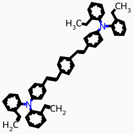 C=Cc1ccccc1N(c1ccc(C=Cc2ccc(C=Cc3ccc(N(c4ccccc4CC)c4ccccc4CC)cc3)cc2)cc1)c1ccccc1C=C